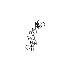 COc1nc(NS(=O)(=O)c2ccccc2Cl)ccc1-c1cc(C(C)(F)F)c2nc(NC3CCCCC3)ncc2c1